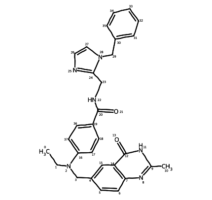 CCN(Cc1ccc2nc(C)[nH]c(=O)c2c1)c1ccc(C(=O)NCc2nccn2Cc2ccccc2)cc1